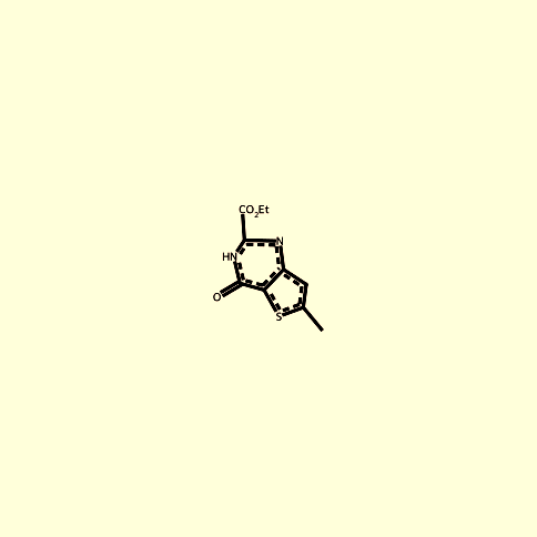 CCOC(=O)c1nc2cc(C)sc2c(=O)[nH]1